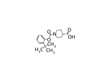 CC(C)(C)c1ccccc1OC(=O)N1CCC(C(=O)O)CC1